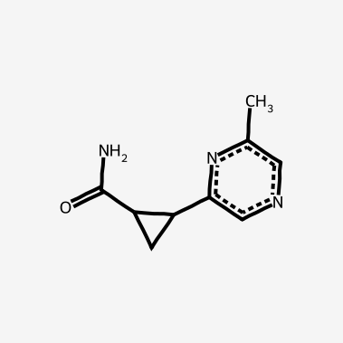 Cc1cncc(C2CC2C(N)=O)n1